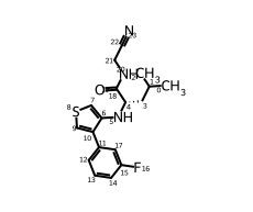 CC(C)C[C@H](Nc1cscc1-c1cccc(F)c1)C(=O)NCC#N